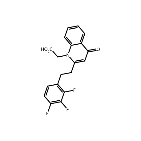 O=C(O)Cn1c(CCc2ccc(F)c(F)c2F)cc(=O)c2ccccc21